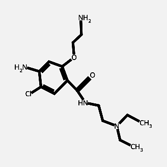 CCN(CC)CCNC(=O)c1cc(Cl)c(N)cc1OCCN